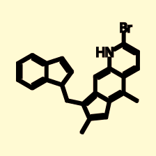 Cc1cc2c(C)c3ccc(Br)[nH]c3cc2c1CC1C=Cc2ccccc21